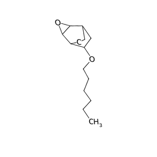 CCCCCCOC1CC2CCC1C1OC21